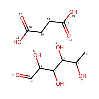 CC(O)C(O)C(O)C(O)C=O.O=C(O)CCC(=O)O